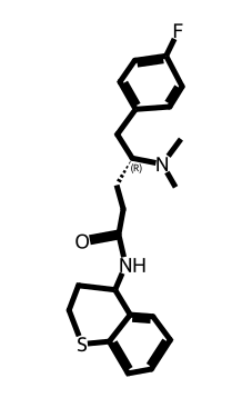 CN(C)[C@H](CCC(=O)NC1CCSc2ccccc21)Cc1ccc(F)cc1